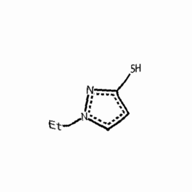 CCn1ccc(S)n1